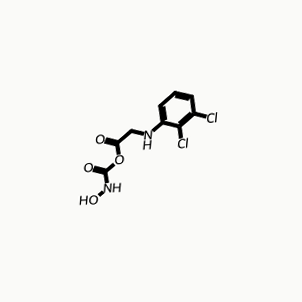 O=C(CNc1cccc(Cl)c1Cl)OC(=O)NO